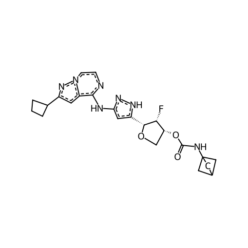 O=C(NC12CC(C1)C2)O[C@@H]1CO[C@H](c2cc(Nc3nccn4nc(C5CCC5)cc34)n[nH]2)[C@@H]1F